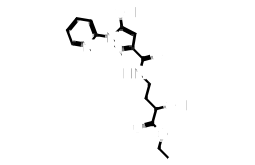 CCOC(=O)C(O)CCNC(=O)c1cc(O)n(-c2ccccn2)n1